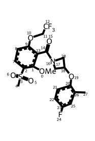 COc1c(S(C)(=O)=O)ccc(OCC(F)(F)F)c1C(=O)N1CC(Oc2ccc(F)cc2C)C1